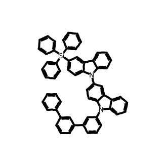 c1ccc(-c2cccc(-c3cccc(-n4c5ccccc5c5cc(-n6c7ccccc7c7cc([Si](c8ccccc8)(c8ccccc8)c8ccccc8)ccc76)ccc54)c3)c2)cc1